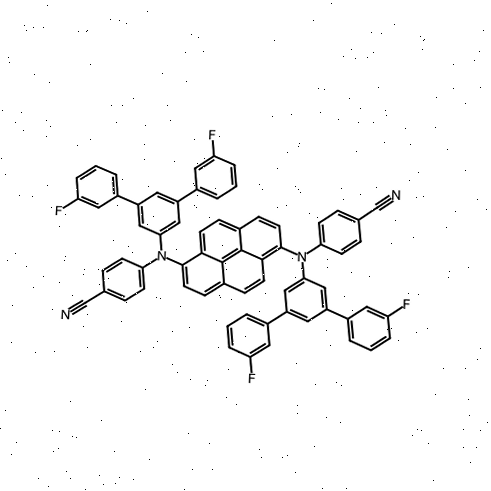 N#Cc1ccc(N(c2cc(-c3cccc(F)c3)cc(-c3cccc(F)c3)c2)c2ccc3ccc4c(N(c5ccc(C#N)cc5)c5cc(-c6cccc(F)c6)cc(-c6cccc(F)c6)c5)ccc5ccc2c3c54)cc1